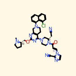 CN1CCC[C@H]1COc1nc2c(c(N3CCN(C(=O)/C=C/n4ccnc4C#N)[C@@H](CC#N)C3)n1)CCN(c1cccc3cccc(Cl)c13)C2